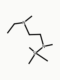 CCN(C)CCN(C)[Si](C)(C)C